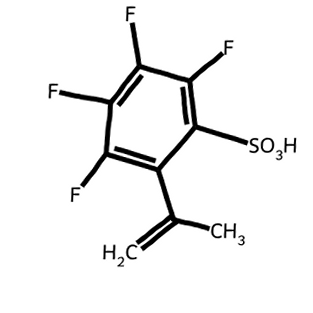 C=C(C)c1c(F)c(F)c(F)c(F)c1S(=O)(=O)O